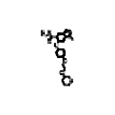 Cn1ncc2cc(C(N)=O)c(Oc3ccc(OCCOC4CCCOC4)cc3)cc21